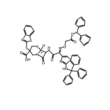 O=C(CON=C(C(=O)NC1C(=O)N2CC(Sc3nc4ccccc4s3)(C(=O)O)CS[C@H]12)c1csc(NC(c2ccccc2)(c2ccccc2)c2ccccc2)n1)OC(c1ccccc1)c1ccccc1